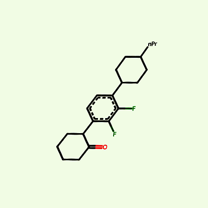 CCCC1CCC(c2ccc(C3CCCCC3=O)c(F)c2F)CC1